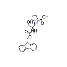 O=C(N[C@H](/C=C1\CCC[C@H]1C(=O)O)CO)OCC1c2ccccc2-c2ccccc21